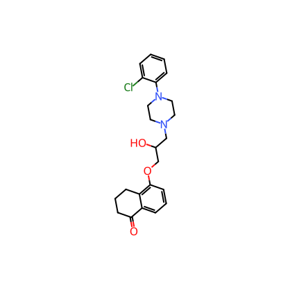 O=C1CCCc2c(OCC(O)CN3CCN(c4ccccc4Cl)CC3)cccc21